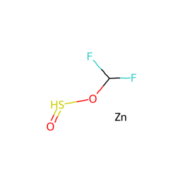 O=[SH]OC(F)F.[Zn]